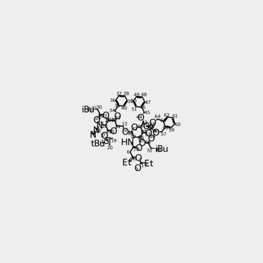 CCC(=O)O[C@H](CC)CC(=O)NC1[C@H](OCC2OC(O[Si](C)(C)C(C)(C)C)C(N=[N+]=[N-])[C@@H](OC(=O)C[C@H](C)CC)[C@H]2OCc2ccccc2)OC(COCc2ccccc2)[C@@H](OP2(=O)OCc3ccccc3CO2)[C@@H]1OC(=O)C[C@H](C)CC